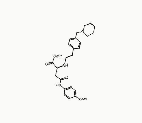 COC(=O)C(CC(=O)Nc1ccc(OC)cn1)NCCc1ccc(CN2CCCCC2)cc1